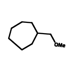 COCC1CCCCCC1